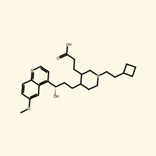 COc1ccc2nccc([C@@H](O)CCC3CCN(CCC4CCC4)CC3CCC(=O)O)c2c1